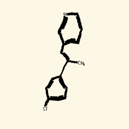 N#C/C(=C\c1cccnc1)c1ccc(Cl)cc1